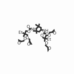 CCC(COCC1CO1)(COCC1CO1)COC(=O)NCC1(C)CC(NC(=O)OCC(CC)(COCC2CO2)COCC2CO2)CC(C)(C)C1